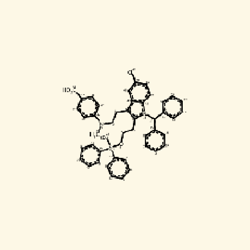 CN(CCc1c(CCO[Si](c2ccccc2)(c2ccccc2)C(C)(C)C)n(C(c2ccccc2)c2ccccc2)c2ccc(Cl)cc12)c1ccc(C(=O)O)cc1